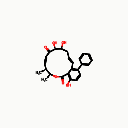 C[C@@H]1OC(=O)c2c(O)ccc(-c3ccccc3)c2/C=C/C[C@H](O)[C@H](O)C(=O)/C=C\[C@@H]1C